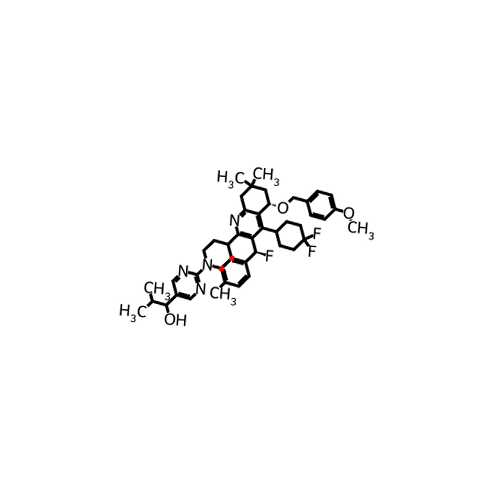 COc1ccc(CO[C@H]2CC(C)(C)Cc3nc(C4CCN(c5ncc(C(O)C(C)C)cn5)CC4)c([C@@H](F)c4ccc(C)cc4)c(C4CCC(F)(F)CC4)c32)cc1